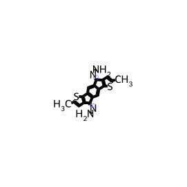 Cc1cc2/c(=N\N)c3cc4c(cc3c2s1)/c(=N/N)c1cc(C)sc14